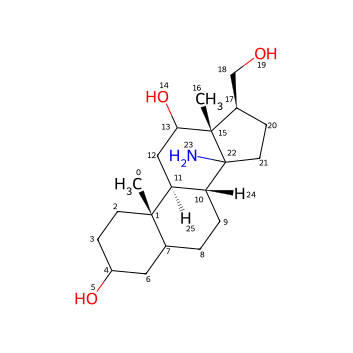 C[C@]12CCC(O)CC1CC[C@@H]1[C@@H]2CC(O)[C@]2(C)[C@@H](CO)CCC12N